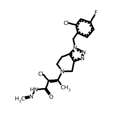 C=NNC(=O)/C(Cl)=C(\C)N1CCc2c(nnn2Cc2ccc(F)cc2Cl)C1